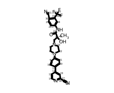 C[C@](O)(CN1CCN(c2ccc(-c3ccnc(C#N)c3)cc2)CC1)C(=O)Nc1ccc(C#N)c(C(F)(F)F)c1